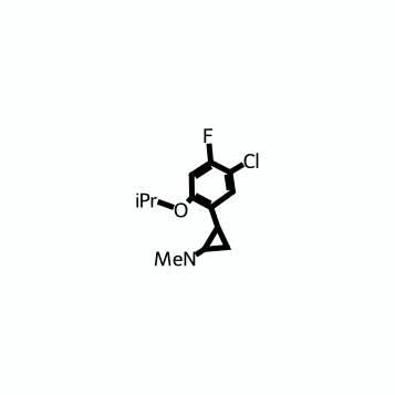 CNC1CC1c1cc(Cl)c(F)cc1OC(C)C